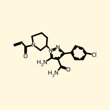 C=CC(=O)N1CCCC(n2nc(-c3ccc(Cl)cc3)c(C(N)=O)c2N)C1